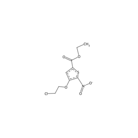 CCOC(=O)c1cc(OCCCl)c([N+](=O)[O-])s1